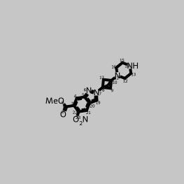 COC(=O)c1cc2nn(C34CC(N5CCNCC5)(C3)C4)cc2cc1[N+](=O)[O-]